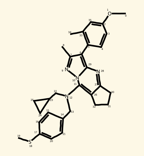 COc1ccc(-c2c(C)nn3c(N(Cc4ccc(SC)cc4)CC4CC4)c4c(nc23)CCC4)c(C)c1